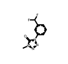 Cn1nnn(-c2cccc(C(F)F)c2)c1=O